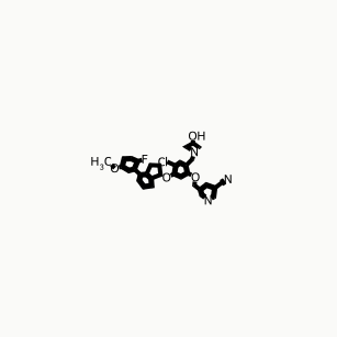 COc1ccc(F)c(-c2cccc3c2CC[C@@H]3Oc2cc(OCc3cncc(C#N)c3)c(CN3CC(O)C3)cc2Cl)c1